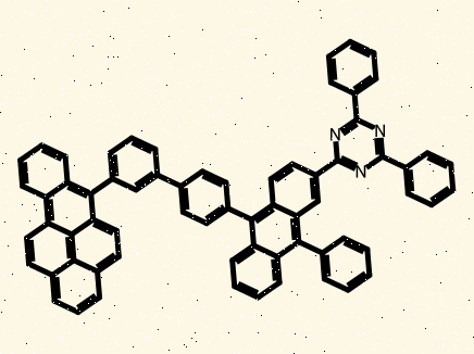 c1ccc(-c2nc(-c3ccccc3)nc(-c3ccc4c(-c5ccc(-c6cccc(-c7c8ccccc8c8ccc9cccc%10ccc7c8c%109)c6)cc5)c5ccccc5c(-c5ccccc5)c4c3)n2)cc1